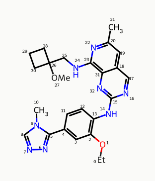 CCOc1cc(-c2nncn2C)ccc1Nc1ncc2cc(C)nc(NCC3(OC)CCC3)c2n1